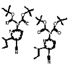 CCC(C)c1nc(N(C(=O)OC(C)(C)C)C(=O)OC(C)(C)C)ccc1C#N.CC[C@@H](C)c1nc(N(C(=O)OC(C)(C)C)C(=O)OC(C)(C)C)ccc1C#N